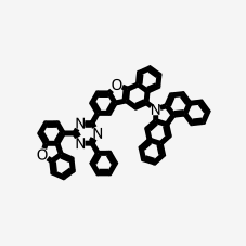 c1ccc(-c2nc(-c3ccc4oc5c6ccccc6c(-n6c7cc8ccccc8cc7c7c8ccccc8ccc76)cc5c4c3)nc(-c3cccc4oc5ccccc5c34)n2)cc1